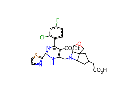 CCOC(=O)C1=C(CN2C3COCC34CC(CC(=O)O)CC24)NC(c2nccs2)=N[C@H]1c1ccc(F)cc1Cl